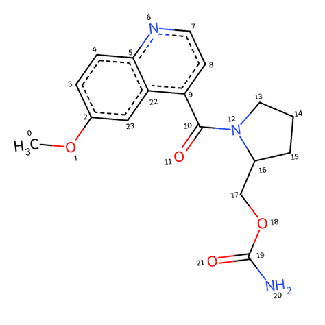 COc1ccc2nccc(C(=O)N3CCCC3COC(N)=O)c2c1